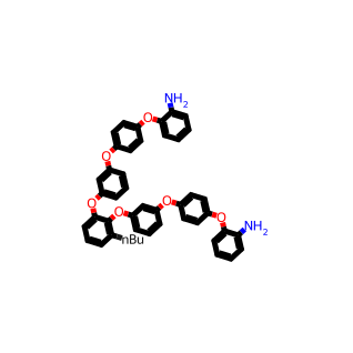 CCCCc1cccc(Oc2cccc(Oc3ccc(Oc4ccccc4N)cc3)c2)c1Oc1cccc(Oc2ccc(Oc3ccccc3N)cc2)c1